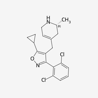 C[C@@H]1CC(Cc2c(-c3c(Cl)cccc3Cl)noc2C2CC2)=CCN1